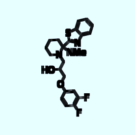 CNC1(c2nc3ccccc3s2)CCCCN1CC(O)COc1ccc(F)c(F)c1